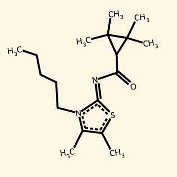 CCCCCn1c(C)c(C)s/c1=N\C(=O)C1C(C)(C)C1(C)C